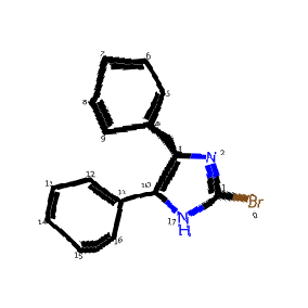 Brc1nc(-c2ccccc2)c(-c2ccccc2)[nH]1